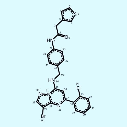 O=C(Cc1ccsc1)Nc1ccc(CNc2cc(-c3ccccc3Cl)nc3c(Br)cnn23)cc1